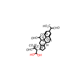 C[C@]12CC(C(C=O)C(=O)O)[C@H]3[C@@H](CCC4=CC(C(C=O)C(=O)O)C=C[C@@]43C)[C@@H]1CC[C@@H]2C(C(O)O)C(C=O)C(=O)O